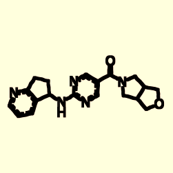 O=C(c1cnc(NC2CCc3ncccc32)nc1)N1CC2COCC2C1